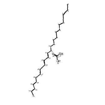 CCCCCCCCCCCCCCCCCCCCCCCC.O=C(O)O